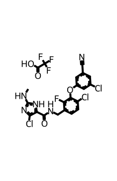 CNc1nc(Cl)c(C(=O)NCc2ccc(Cl)c(Oc3cc(Cl)cc(C#N)c3)c2F)[nH]1.O=C(O)C(F)(F)F